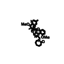 COc1cccc(OC)c1-n1c(CN2CCCCCC2=O)nnc1NS(=O)(=O)[C@@H](C)[C@H](OC)c1ncc(C)cn1